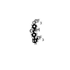 O=C(Nc1ccc(OC(F)(F)F)cc1)c1ccc(-c2ncccc2C(F)(F)F)cc1